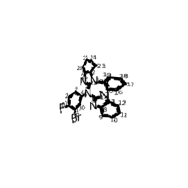 Fc1ccc(-n2c3nc4ccccc4n3c3ccccc3n3c4ccccc4nc23)cc1Br